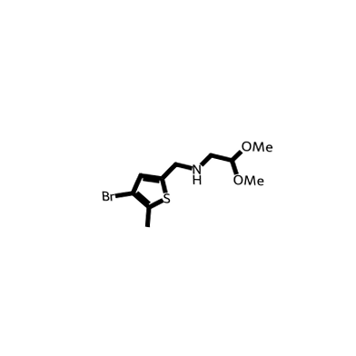 COC(CNCc1cc(Br)c(C)s1)OC